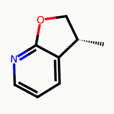 C[C@H]1COc2ncccc21